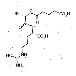 CC(C)[C@H](NC(=O)CCCC(=O)O)C(=O)N[C@@H](CCCNC(N)O)C(=O)O